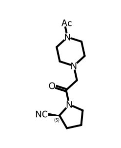 CC(=O)N1CCN(CC(=O)N2CCC[C@H]2C#N)CC1